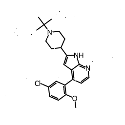 COc1ccc(Cl)cc1-c1ccnc2[nH]c(C3CCN(C(C)(C)C)CC3)cc12